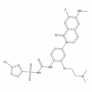 CNc1cc2ccn(-c3ccc(NC(=O)NS(=O)(=O)c4ccc(Cl)s4)c(OCCN(C)C)c3)c(=O)c2cc1F